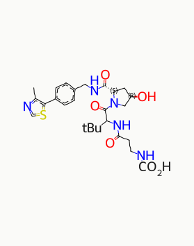 Cc1ncsc1-c1ccc(CNC(=O)[C@@H]2C[C@@H](O)CN2C(=O)C(NC(=O)CCNC(=O)O)C(C)(C)C)cc1